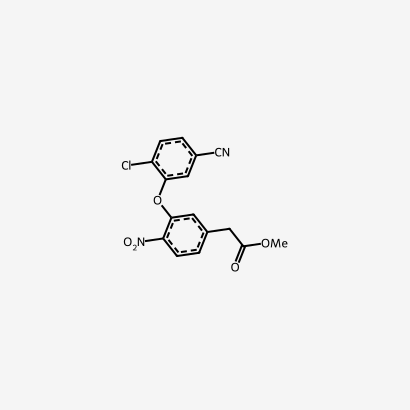 COC(=O)Cc1ccc([N+](=O)[O-])c(Oc2cc(C#N)ccc2Cl)c1